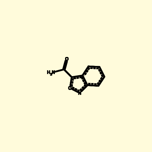 NC(=O)c1onc2ccccc12